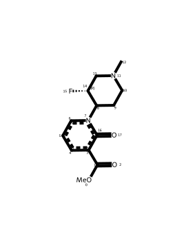 COC(=O)c1cccn(C2CCN(C)C[C@H]2F)c1=O